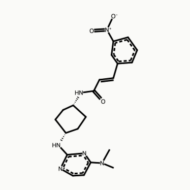 CN(C)c1ccnc(N[C@H]2CC[C@@H](NC(=O)C=Cc3cccc([N+](=O)[O-])c3)CC2)n1